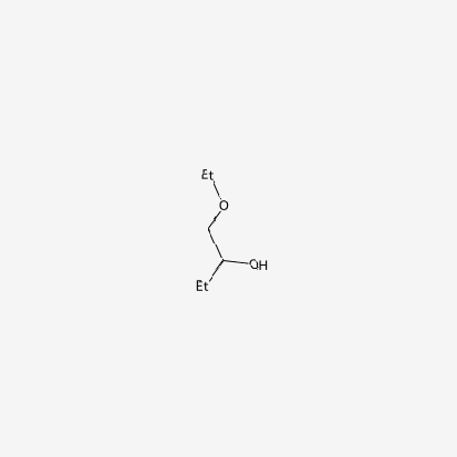 [CH2]COCC(O)CC